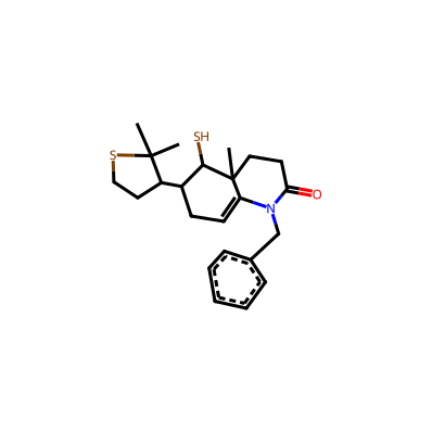 CC1(C)SCCC1C1CC=C2N(Cc3ccccc3)C(=O)CCC2(C)C1S